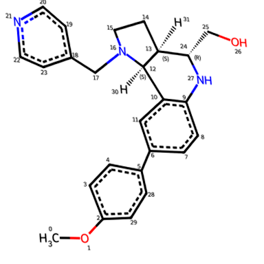 COc1ccc(-c2ccc3c(c2)[C@@H]2[C@@H](CCN2Cc2ccncc2)[C@H](CO)N3)cc1